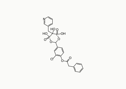 O=C(Cc1ccccc1)Oc1ccc(C2OP(=O)(O)C(O)(Cc3cccnc3)P(=O)(O)O2)cc1Cl